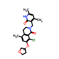 Cc1cc(C)c(CN2CCc3c(C)cc(O[C@@H]4CCOC4)c(Cl)c3C2=O)c(=O)[nH]1